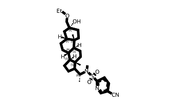 CCOC[C@@]1(O)CC[C@@]2(C)[C@H](CC[C@@H]3[C@@H]2CC[C@]2(C)C([C@@H](C)N(C)S(=O)(=O)c4ccc(C#N)cn4)CC[C@@H]32)C1